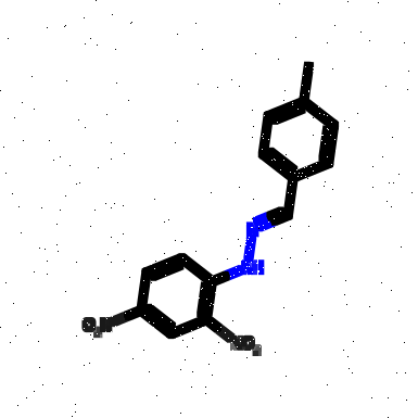 Cc1ccc(C=NNc2ccc([N+](=O)[O-])cc2[N+](=O)[O-])cc1